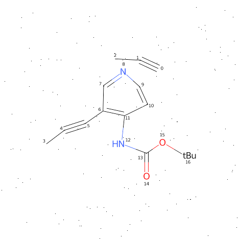 C#CC.CC#Cc1cnccc1NC(=O)OC(C)(C)C